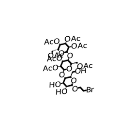 CC(=O)OC[C@H]1O[C@H](O[C@@H]2[C@H](OC(C)=O)[C@@H](OC(C)=O)[C@H](O[C@H]3[C@H](O)[C@@H](O)[C@H](OCCBr)O[C@@H]3CO)O[C@@H]2COC(C)=O)[C@H](OC(C)=O)[C@@H](OC(C)=O)[C@H]1OC(C)=O